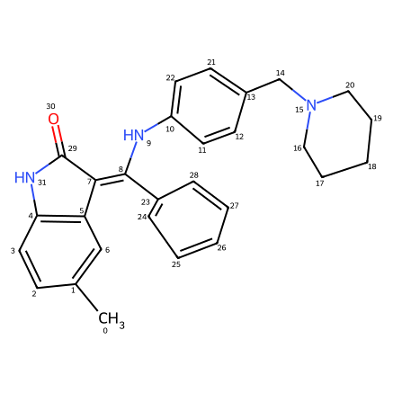 Cc1ccc2c(c1)/C(=C(/Nc1ccc(CN3CCCCC3)cc1)c1ccccc1)C(=O)N2